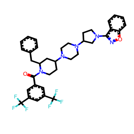 O=C(c1cc(C(F)(F)F)cc(C(F)(F)F)c1)N1CCC(N2CCN(C3CCN(c4noc5ccccc45)C3)CC2)CC1Cc1ccccc1